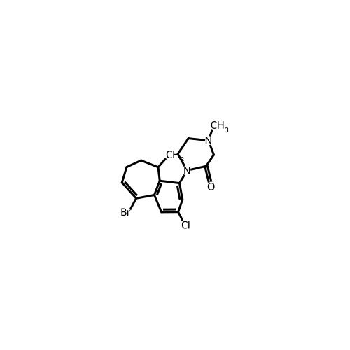 CC1CCC=C(Br)c2cc(Cl)cc(N3CCN(C)CC3=O)c21